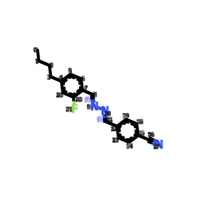 CCCCc1ccc(/C=N/N=C/c2ccc(C#N)cc2)c(F)c1